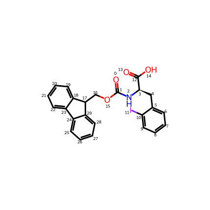 O=C(N[C@H](Cc1ccccc1I)C(=O)O)OCC1c2ccccc2-c2ccccc21